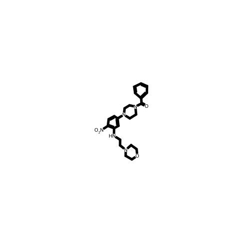 O=C(c1ccccc1)N1CCN(c2ccc([N+](=O)[O-])c(NCCN3CCOCC3)c2)CC1